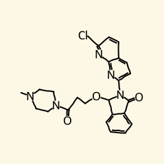 CN1CCN(C(=O)CCOC2c3ccccc3C(=O)N2c2ccc3ccc(Cl)nc3n2)CC1